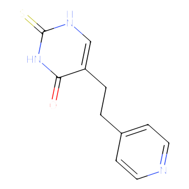 O=c1[nH]c(=S)[nH]cc1CCc1ccncc1